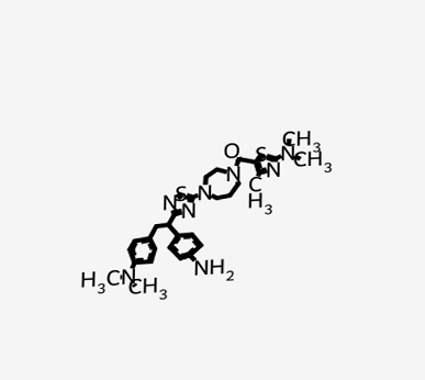 Cc1nc(N(C)C)sc1C(=O)N1CCCN(c2nc(C(Cc3ccc(N(C)C)cc3)c3ccc(N)cc3)ns2)CC1